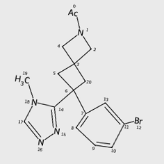 CC(=O)N1CC2(C1)CC(c1cccc(Br)c1)(c1nncn1C)C2